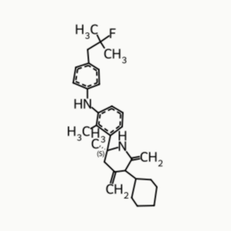 C=C1C[C@@](C)(c2cccc(Nc3ccc(CC(C)(C)F)cc3)c2C)NC(=C)C1C1CCCCC1